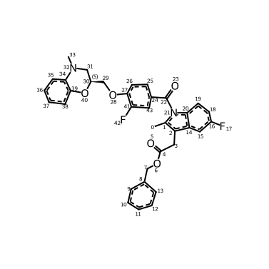 Cc1c(CC(=O)OCc2ccccc2)c2cc(F)ccc2n1C(=O)c1ccc(OC[C@@H]2CN(C)c3ccccc3O2)c(F)c1